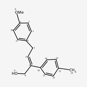 COc1ccc(C/C=C(/CO)c2ccc(C)cc2)cc1